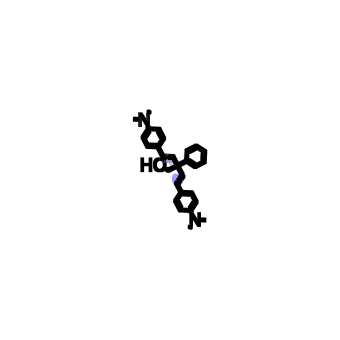 CN(C)c1ccc(/C=C/C(/C=C/c2ccc(N(C)C)cc2)(CO)c2ccccc2)cc1